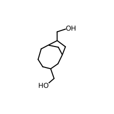 OCC1CCCC2CC(C1)CC2CO